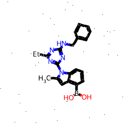 CCc1nc(NCc2ccccc2)nc(-n2c(C)cc3c(B(O)O)cccc32)n1